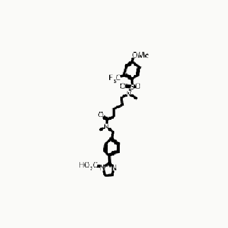 COc1ccc(S(=O)(=O)N(C)CCCCC(=O)N(C)Cc2ccc(C3=NCCN3C(=O)O)cc2)c(C(F)(F)F)c1